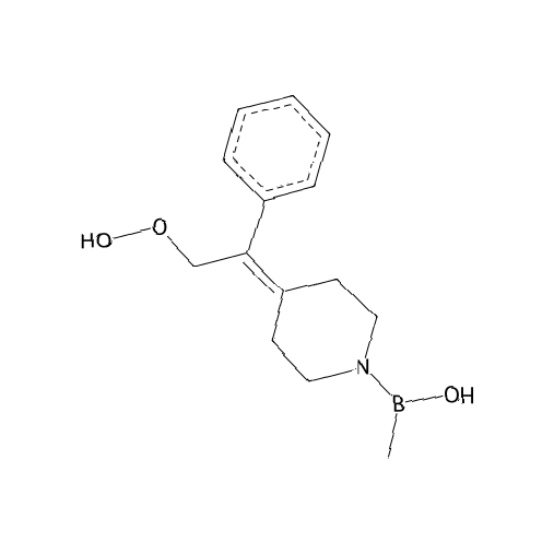 CB(O)N1CCC(=C(COO)c2ccccc2)CC1